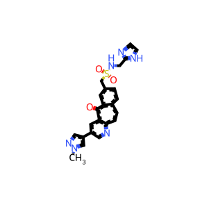 Cn1cc(-c2cnc3ccc4ccc(CS(=O)(=O)NCc5ncc[nH]5)cc4c(=O)c3c2)cn1